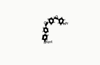 CCCCCc1ccc([C@H]2CC[C@H](C3OC3[C@H]3CC[C@H](C4OC4[C@H]4CC[C@H](CCC)CC4)CC3)CC2)cc1